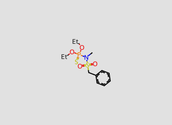 CCOP(=S)(OCC)N(C)S(=O)(=O)Cc1ccccc1